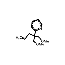 C=CCC(COC)(COC)c1ccccn1